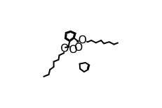 C1=CCCCC1.CCCCCCCCOC(=O)c1ccccc1C(=O)OCCCCCCCC